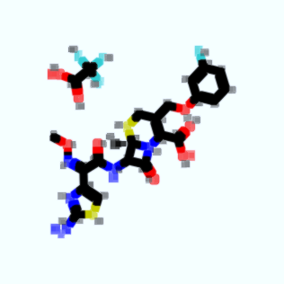 CO/N=C(\C(=O)NC1C(=O)N2C(C(=O)O)=C(COc3cccc(F)c3)CS[C@H]12)c1csc(N)n1.O=C(O)C(F)(F)F